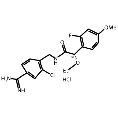 CCO[C@H](C(=O)NCc1ccc(C(=N)N)cc1Cl)c1ccc(OC)cc1F.Cl